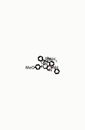 COc1ccc(N2Cc3cnc(Nc4ccccc4)nc3N(C(O[SiH3])(c3ccccc3)C(C)(c3ccccc3)C(C)(C)C)C2=O)cc1